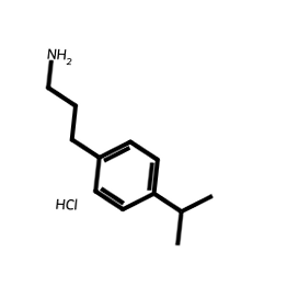 CC(C)c1ccc(CCCN)cc1.Cl